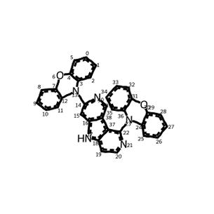 c1ccc2c(c1)Oc1ccccc1N2c1cc2[nH]c3ccnc(N4c5ccccc5Oc5ccccc54)c3c2cn1